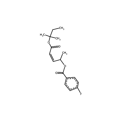 CCC(C)(C)OC(=O)/C=C\C(C)OC(=O)c1ccc(F)cc1